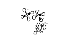 O=P([O-])([O-])[O-].O=S(=O)([O-])[O-].[Cl-].[Mg+2].[Mg+2].[Mg+2]